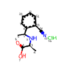 CC(N[C@@H](C)C(=O)O)c1ccccc1C#N.Cl